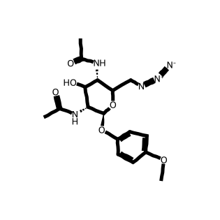 COc1ccc(O[C@@H]2OC(CN=[N+]=[N-])[C@@H](NC(C)=O)C(O)[C@H]2NC(C)=O)cc1